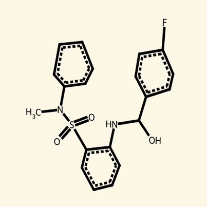 CN(c1ccccc1)S(=O)(=O)c1ccccc1NC(O)c1ccc(F)cc1